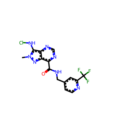 Cn1nc2c(C(=O)NCc3ccnc(C(F)(F)F)c3)ncnc2c1NCl